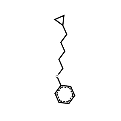 [c]1cccc(OCCCCCC2CC2)c1